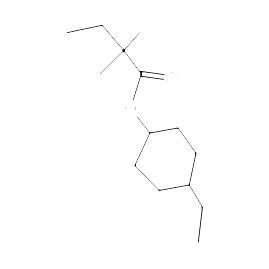 CCC1CCC(OC(=O)C(C)(C)CC)CC1